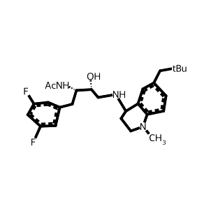 CC(=O)N[C@@H](Cc1cc(F)cc(F)c1)[C@H](O)CNC1CCN(C)c2ccc(CC(C)(C)C)cc21